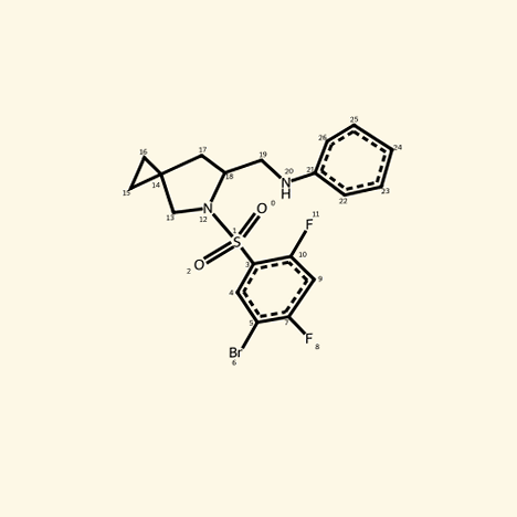 O=S(=O)(c1cc(Br)c(F)cc1F)N1CC2(CC2)CC1CNc1ccccc1